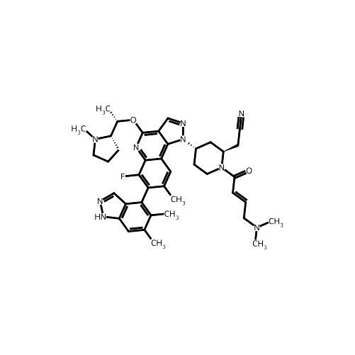 Cc1cc2[nH]ncc2c(-c2c(C)cc3c(nc(O[C@@H](C)[C@@H]4CCCN4C)c4cnn([C@H]5CCN(C(=O)/C=C/CN(C)C)[C@H](CC#N)C5)c43)c2F)c1C